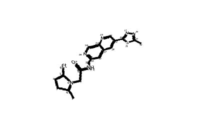 CCC1CCC(C)N1CC(=O)Nc1cc2cc(-c3nnc(C)s3)cnc2cn1